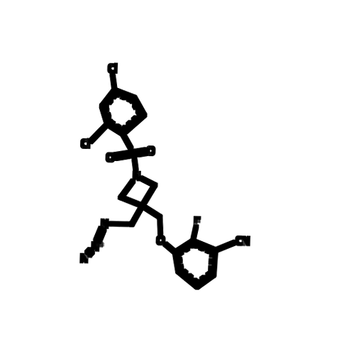 N#Cc1cccc(OCC2(CN=[N+]=[N-])CN(S(=O)(=O)c3ccc(Cl)cc3Cl)C2)c1F